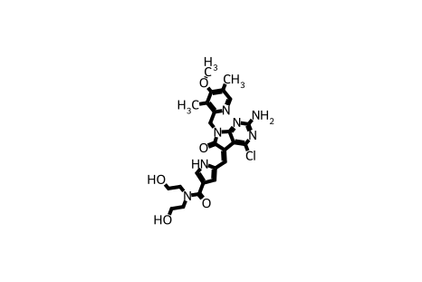 COc1c(C)cnc(CN2C(=O)C(=Cc3cc(C(=O)N(CCO)CCO)c[nH]3)c3c(Cl)nc(N)nc32)c1C